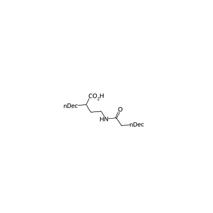 CCCCCCCCCCCC(=O)NCCC(CCCCCCCCCC)C(=O)O